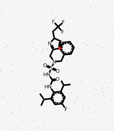 CC(C)c1cc(F)cc(C(C)C)c1NC(=O)NS(=O)(=O)N(CC1=NC(CC(F)(F)F)C=C1)Cc1ccccc1